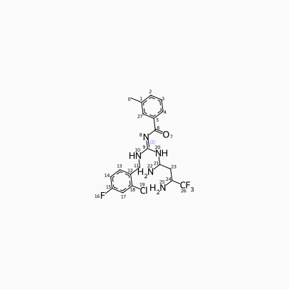 Cc1cccc(C(=O)/N=C(/NCc2ccc(F)cc2Cl)NC(N)CC(N)C(F)(F)F)c1